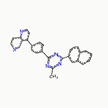 Cc1nc(-c2ccc(-c3ccnc4ccncc34)cc2)nc(-c2ccc3ccccc3c2)n1